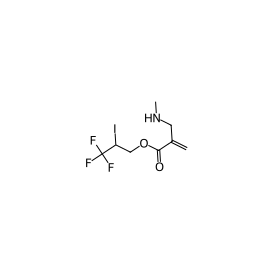 C=C(CNC)C(=O)OCC(I)C(F)(F)F